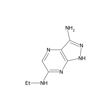 CCNc1cnc2c(N)n[nH]c2n1